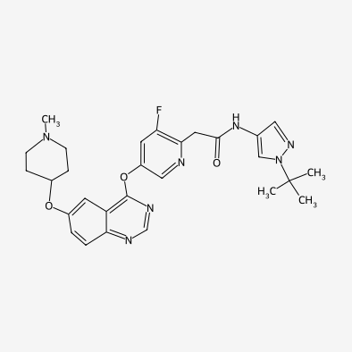 CN1CCC(Oc2ccc3ncnc(Oc4cnc(CC(=O)Nc5cnn(C(C)(C)C)c5)c(F)c4)c3c2)CC1